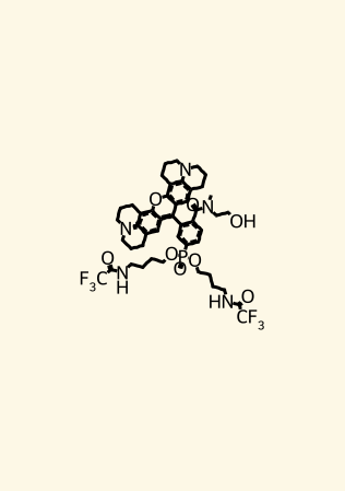 CN(CCO)C(=O)c1ccc(P(=O)(OCCCCNC(=O)C(F)(F)F)OCCCCNC(=O)C(F)(F)F)cc1C1=c2cc3c4c(c2Oc2c1cc1c5c2CCCN5CCC1)CCC[N+]=4CCC3